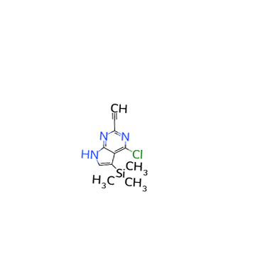 C#Cc1nc(Cl)c2c([Si](C)(C)C)c[nH]c2n1